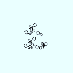 COc1ccc(-c2cc([Se]c3ccccc3)[o+]c([Se]c3ccccc3)c2)cc1.COc1ccc(-c2cc([Se]c3ccccc3)[o+]c([Se]c3ccccc3)c2)cc1.[O-]B([O-])F